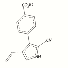 C=Cc1c[nH]c(C#N)c1-c1ccc(C(=O)OCC)cc1